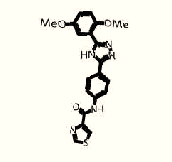 COc1ccc(OC)c(-c2nnc(-c3ccc(NC(=O)c4cscn4)cc3)[nH]2)c1